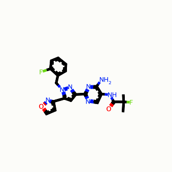 CC(C)(F)C(=O)Nc1cnc(-c2cc(-c3ccon3)n(Cc3ccccc3F)n2)nc1N